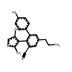 CCCc1cc(C#N)c(-c2c(C)coc2C)c(-c2ccc(O)cc2)c1